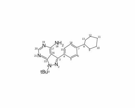 CC(C)(C)n1nc(-c2ccc(C3CCCCC3)cc2)c2c(N)ncnc21